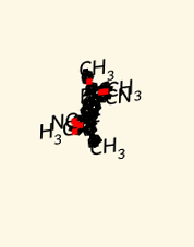 Cc1ccc(-c2cc(F)c(N(c3ccc(C#N)cc3)c3ccc4ccc5c(N(c6ccc(C#N)cc6)c6c(F)cc(-c7ccc(C)cc7)cc6-c6ccc(C)cc6)ccc6ccc3c4c65)c(-c3ccc(C)cc3)c2)cc1